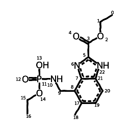 CCOC(=O)c1nc2c(CNP(=O)(O)OCC)c(C)ccc2[nH]1